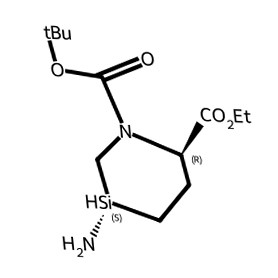 CCOC(=O)[C@H]1CC[Si@H](N)CN1C(=O)OC(C)(C)C